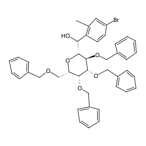 Cc1cc(Br)ccc1C(O)[C@H]1O[C@@H](COCc2ccccc2)[C@@H](OCc2ccccc2)[C@@H](OCc2ccccc2)[C@@H]1OCc1ccccc1